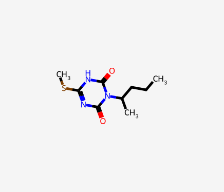 CCCC(C)n1c(=O)nc(SC)[nH]c1=O